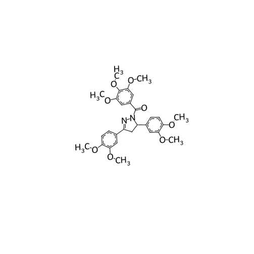 COc1ccc(C2=NN(C(=O)c3cc(OC)c(OC)c(OC)c3)C(c3ccc(OC)c(OC)c3)C2)cc1OC